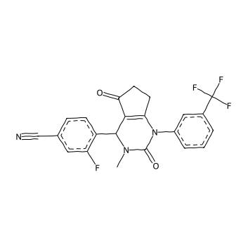 CN1C(=O)N(c2cccc(C(F)(F)F)c2)C2=C(C(=O)CC2)C1c1ccc(C#N)cc1F